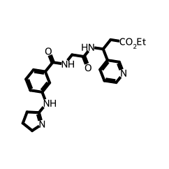 CCOC(=O)CC(NC(=O)CNC(=O)c1cccc(NC2=NCCC2)c1)c1cccnc1